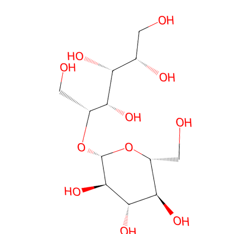 OC[C@H](O)[C@@H](O)[C@H](O)[C@@H](CO)O[C@@H]1O[C@H](CO)[C@@H](O)[C@H](O)[C@H]1O